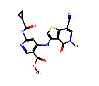 COC(=O)c1cnc(NC(=O)C2CC2)cc1Nc1csc2c(C#N)cn(C)c(=O)c12